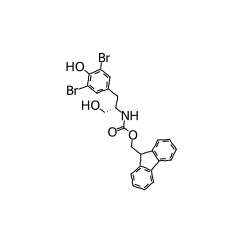 O=C(N[C@H](CO)Cc1cc(Br)c(O)c(Br)c1)OCC1c2ccccc2-c2ccccc21